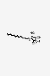 CCCCCCCCCCCCCO[C@H]1O[C@H](CO)[C@@H](O)[C@H](O)[C@H]1O